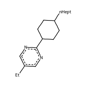 CCCCCCCC1CCC(c2ncc(CC)cn2)CC1